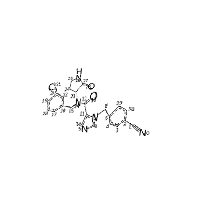 N#Cc1ccc(Cn2cncc2C(=O)N(Cc2cccc(Cl)c2)[C@@H]2CCNC2=O)cc1